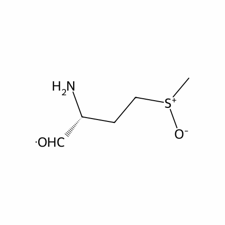 C[S+]([O-])CC[C@@H](N)[C]=O